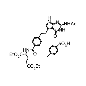 CCOC(=O)CC[C@H](NC(=O)c1ccc(CCc2c[nH]c3nc(NC(C)=O)[nH]c(=O)c23)cc1)C(=O)OCC.Cc1ccc(S(=O)(=O)O)cc1